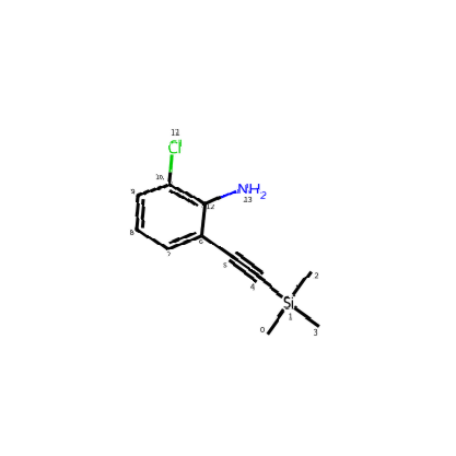 C[Si](C)(C)C#Cc1cccc(Cl)c1N